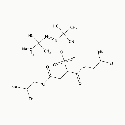 CC(C)(C#N)/N=N/C(C)(C)C#N.CCCCC(CC)COC(=O)CC(C(=O)OCC(CC)CCCC)S(=O)(=O)[O-].[Na+]